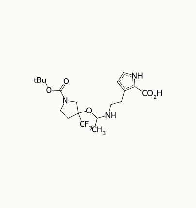 CC(NCCc1cc[nH]c1C(=O)O)OC1(C(F)(F)F)CCN(C(=O)OC(C)(C)C)C1